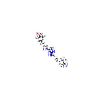 CON1C(C)(C)CC(CCCCNc2ncnc(NCCCCC3CC(C)(C)N(OC)C(C)(C)C3)n2)CC1(C)C